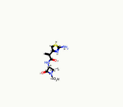 C=C(C(=O)N[C@@H]1C(=O)N(S(=O)(=O)O)[C@H]1C)c1csc(N)n1